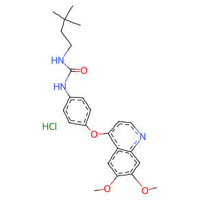 COc1cc2nccc(Oc3ccc(NC(=O)NCCC(C)(C)C)cc3)c2cc1OC.Cl